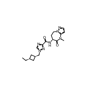 CC[C@H]1C[C@@H](Cn2cnc(C(=O)N[C@H]3CCn4nccc4N(C)C3=O)n2)C1